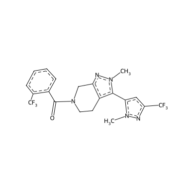 Cn1nc(C(F)(F)F)cc1-c1c2c(nn1C)CN(C(=O)c1ccccc1C(F)(F)F)CC2